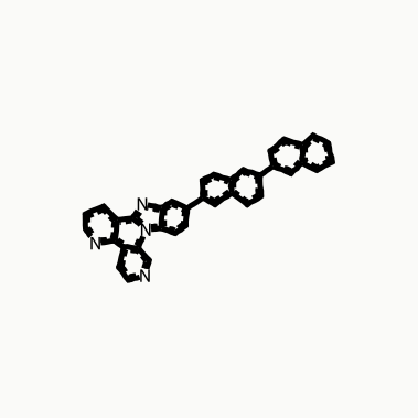 c1ccc2cc(-c3ccc4cc(-c5ccc6c(c5)nc5c7cccnc7c7ccncc7n65)ccc4c3)ccc2c1